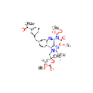 CCCCc1nc2c(N(C(=O)OC(C)(C)C)C(=O)OC(C)(C)C)nc3cc(Cc4cccc(C(=O)OC)c4)ccc3c2n1CC(C)(C)OC(=O)OC(C)(C)C